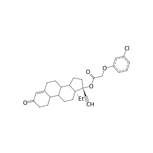 C#C[C@]1(OC(=O)COc2cccc(Cl)c2)CCC2C3CCC4=CC(=O)CCC4C3CC[C@@]21CC